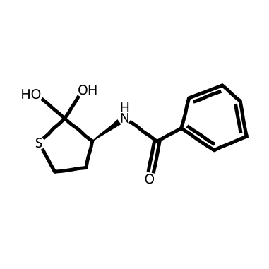 O=C(N[C@H]1CCSC1(O)O)c1ccccc1